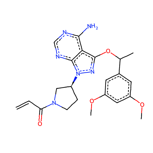 C=CC(=O)N1CC[C@H](n2nc(OC(C)c3cc(OC)cc(OC)c3)c3c(N)ncnc32)C1